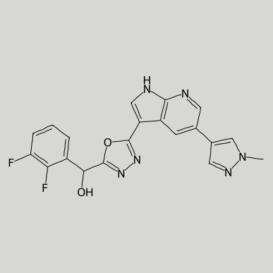 Cn1cc(-c2cnc3[nH]cc(-c4nnc(C(O)c5cccc(F)c5F)o4)c3c2)cn1